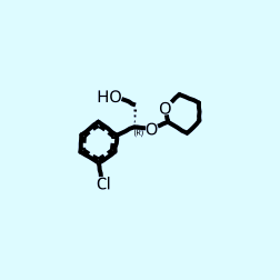 OC[C@H](OC1CCCCO1)c1cccc(Cl)c1